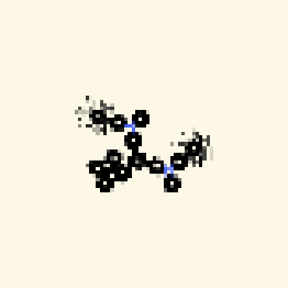 [2H]c1c([2H])c([2H])c(-c2ccc(N(c3ccccc3)c3ccc(-c4cc(-c5ccc(N(c6ccccc6)c6ccc(-c7c([2H])c([2H])c([2H])c([2H])c7[2H])cc6)cc5)cc(-c5ccc6c(c5)C5(c7ccccc7-c7ccccc75)c5ccccc5-6)c4)cc3)cc2)c([2H])c1[2H]